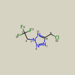 FC(F)(F)Cn1nnc(CCl)n1